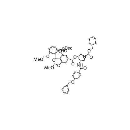 CCCCCCCCCCOc1cc(C(=O)OC2CN(C(=O)OCc3ccccc3)CC2NC(=O)c2ccc(OCc3ccccc3)cc2)cc(OCOC)c1C(=O)c1c(C=O)cccc1OCOC